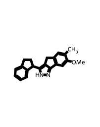 COc1cc2c(cc1C)Cc1c-2n[nH]c1C1CCc2ccccc21